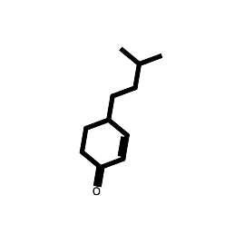 CC(C)CCC1C=CC(=O)CC1